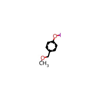 COCc1ccc(OI)cc1